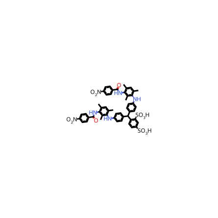 Cc1cc(C)c(Nc2ccc(C(c3ccc(Nc4c(C)cc(C)c(NC(=O)c5ccc([N+](=O)[O-])cc5)c4C)cc3)c3ccc(S(=O)(=O)O)cc3S(=O)(=O)O)cc2)c(C)c1NC(=O)c1ccc([N+](=O)[O-])cc1